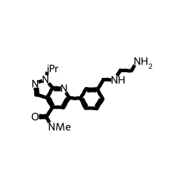 CNC(=O)c1cc(-c2cccc(CNCCN)c2)nc2c1cnn2C(C)C